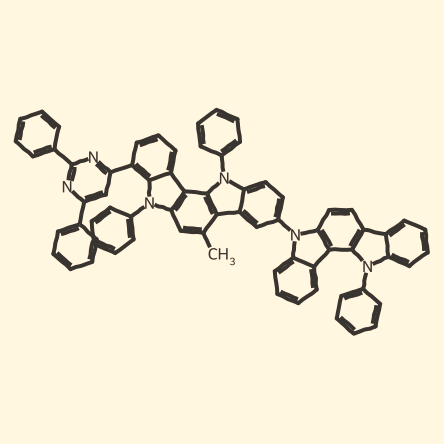 Cc1cc2c(c3cccc(-c4cc(-c5ccccc5)nc(-c5ccccc5)n4)c3n2-c2ccccc2)c2c1c1cc(-n3c4ccccc4c4c3ccc3c5ccccc5n(-c5ccccc5)c34)ccc1n2-c1ccccc1